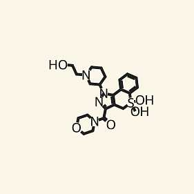 O=C(c1nn(C2CCCN(CCO)C2)c2c1CS(O)(O)c1ccccc1-2)N1CCOCC1